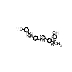 CS(=O)(=O)c1ccc(-c2ccnc(Nc3ccc(-n4cnc(N5CCCC(O)C5)n4)cc3)n2)cc1N1CCCC(O)C1